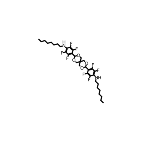 CCCCCCCCNc1c(F)c(F)c(C2OCC3(CO2)COC(c2c(F)c(F)c(NCCCCCCCC)c(F)c2F)OC3)c(F)c1F